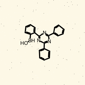 OBc1ccccc1-c1nc(-c2ccccc2)nc(-c2ccccc2)n1